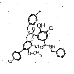 COc1c(Cl)cc(CN(Cc2ccc(F)cc2)S(=O)(=O)c2cc(C(=O)NCc3ccccc3)cc(Cl)c2O)cc1-c1ccc(Cl)cc1